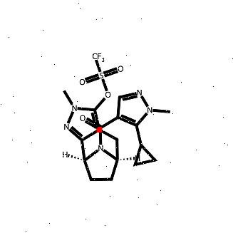 Cn1nc2c(c1OS(=O)(=O)C(F)(F)F)C[C@H]1CC[C@@H]2N1C(=O)c1cnn(C)c1C1CC1